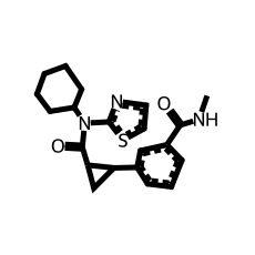 CNC(=O)c1cccc(C2CC2C(=O)N(c2nccs2)C2CCCCC2)c1